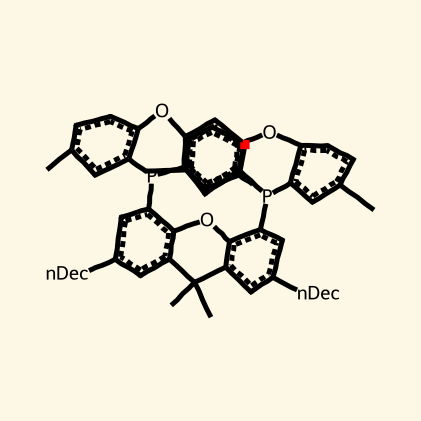 CCCCCCCCCCc1cc(P2c3cc(C)ccc3Oc3ccc(C)cc32)c2c(c1)C(C)(C)c1cc(CCCCCCCCCC)cc(P3c4cc(C)ccc4Oc4ccc(C)cc43)c1O2